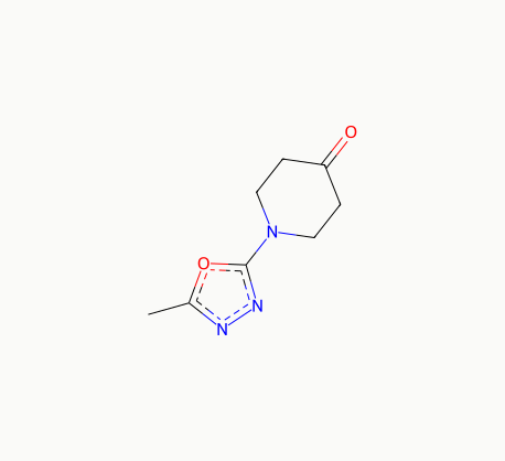 Cc1nnc(N2CCC(=O)CC2)o1